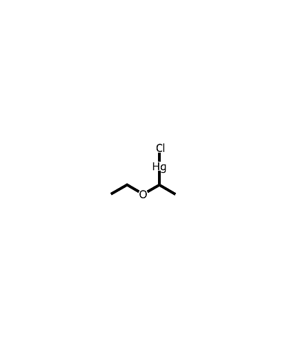 CCO[CH](C)[Hg][Cl]